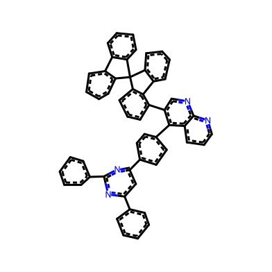 c1ccc(-c2cc(-c3ccc(-c4c(-c5cccc6c5-c5ccccc5C65c6ccccc6-c6ccccc65)cnc5ncccc45)cc3)nc(-c3ccccc3)n2)cc1